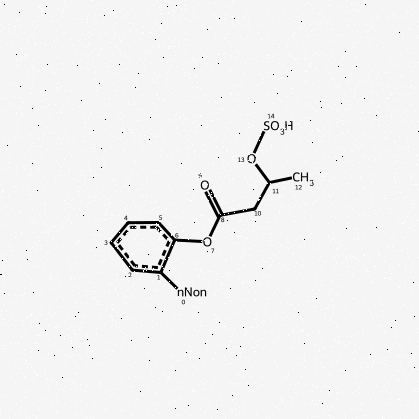 CCCCCCCCCc1ccccc1OC(=O)CC(C)OS(=O)(=O)O